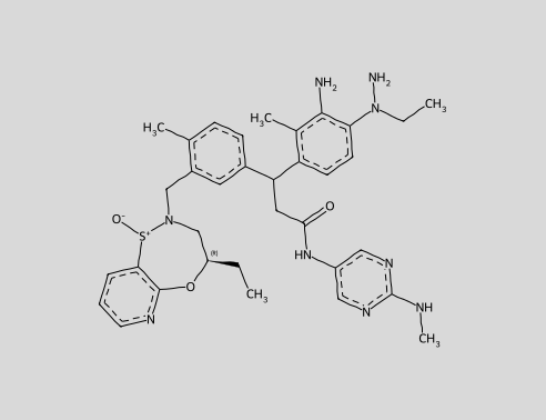 CC[C@@H]1CN(Cc2cc(C(CC(=O)Nc3cnc(NC)nc3)c3ccc(N(N)CC)c(N)c3C)ccc2C)[S+]([O-])c2cccnc2O1